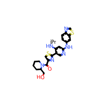 CC(C)Nc1cc(Nc2ccc3ncsc3c2)ncc1-c1nc(C(=O)N2CCCCC2CO)cs1